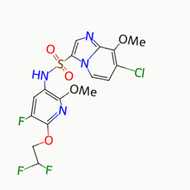 COc1nc(OCC(F)F)c(F)cc1NS(=O)(=O)c1cnc2c(OC)c(Cl)ccn12